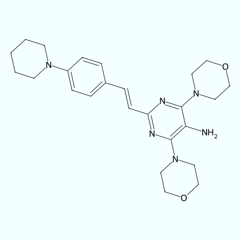 Nc1c(N2CCOCC2)nc(C=Cc2ccc(N3CCCCC3)cc2)nc1N1CCOCC1